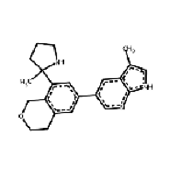 Cc1c[nH]c2ncc(-c3cc4c(c(C5(C)CCCN5)c3)COCC4)cc12